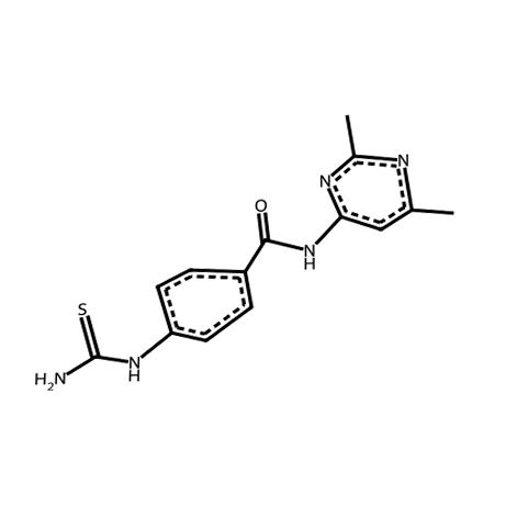 Cc1cc(NC(=O)c2ccc(NC(N)=S)cc2)nc(C)n1